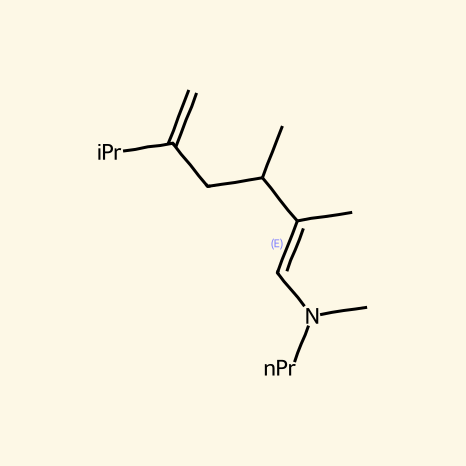 C=C(CC(C)/C(C)=C/N(C)CCC)C(C)C